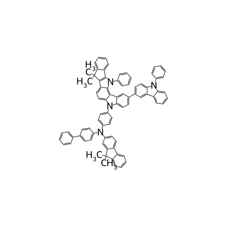 CC1(C)c2ccccc2-c2ccc(N(c3ccc(-c4ccccc4)cc3)c3ccc(-n4c5ccc(-c6ccc7c(c6)c6ccccc6n7-c6ccccc6)cc5c5c6c(ccc54)c4c(n6-c5ccccc5)-c5ccccc5C4(C)C)cc3)cc21